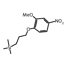 COc1cc([N+](=O)[O-])ccc1OCCC[Si](C)(C)C